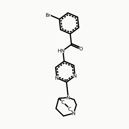 O=C(Nc1cnc(N2CCN3CCC2CC3)nc1)c1cccc(Br)c1